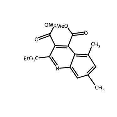 CCOC(=O)c1nc2cc(C)cc(C)c2c(C(=O)OC)c1C(=O)OC